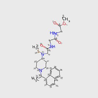 COC(=O)CNC(=O)CNC(=O)CN(SC)C1CCN(C(C)c2cccc3ccccc23)CC1